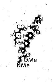 CN(C)CC(=O)N(C)CCCCC(=O)O.CNCCCC(C(=O)OC)[C@@H]1CC(c2ccc(-c3ccc(N4C[C@H](Cn5ccnn5)OC4=O)cc3F)cn2)=NO1